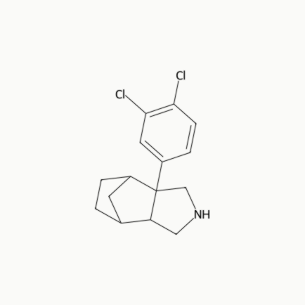 Clc1ccc(C23CNCC2C2CCC3C2)cc1Cl